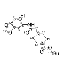 CCc1cc2c(cc1NC(=O)CN1CCN(C(=O)OC(C)(C)C)CC1)OCO2